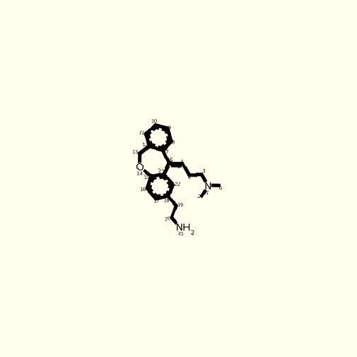 CN(C)CCC=C1c2ccccc2COc2ccc(CCN)cc21